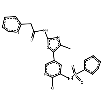 Cc1nc(NC(=O)Cc2ccccn2)sc1-c1cnc(Cl)c(NS(=O)(=O)c2ccccc2)c1